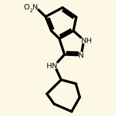 O=[N+]([O-])c1ccc2[nH]nc(NC3CCCCC3)c2c1